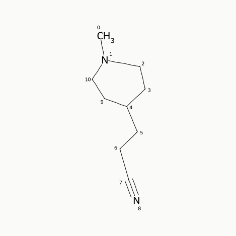 CN1CCC(CCC#N)CC1